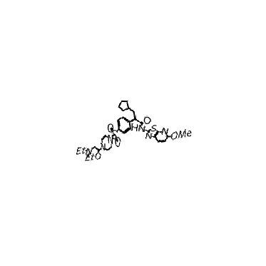 CCN(CC)CC(=O)N1CCN(S(=O)(=O)c2ccc(C(CC3CCCC3)C(=O)Nc3nc4ccc(OC)nc4s3)cc2)CC1